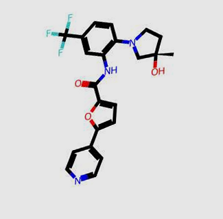 C[C@]1(O)CCN(c2ccc(C(F)(F)F)cc2NC(=O)c2ccc(-c3ccncc3)o2)C1